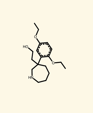 CCOc1ccc(OCC)c(C2(CCO)CCCCNC2)c1